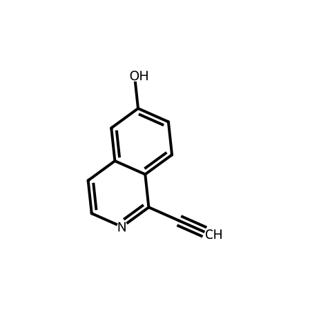 C#Cc1nccc2cc(O)ccc12